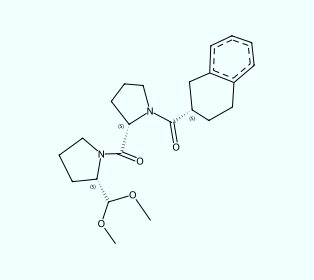 COC(OC)[C@@H]1CCCN1C(=O)[C@@H]1CCCN1C(=O)[C@H]1CCc2ccccc2C1